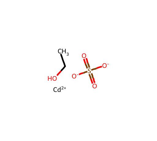 CCO.O=S(=O)([O-])[O-].[Cd+2]